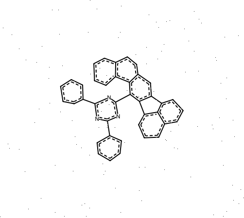 c1ccc(-c2nc(-c3ccccc3)nc(-c3c4c(cc5ccc6ccccc6c35)-c3cccc5cccc-4c35)n2)cc1